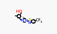 Cc1cc(CO)cc(CN2CCN(c3nc4ccc(C(F)(F)F)cc4s3)C[C@H]2C)c1